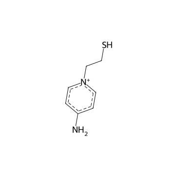 Nc1cc[n+](CCS)cc1